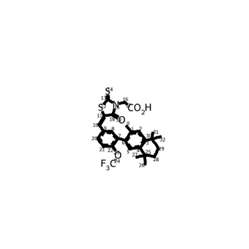 Cc1cc2c(cc1-c1cc(C=C3SC(=S)N(CC(=O)O)C3=O)ccc1OC(F)(F)F)C(C)(C)CCC2(C)C